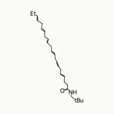 CCC=CCC=CCC=CCC=CCC=CCC=CCCC(=O)NCC(C)(C)C